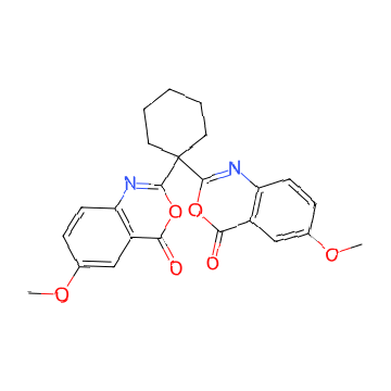 COc1ccc2nc(C3(c4nc5ccc(OC)cc5c(=O)o4)CCCCC3)oc(=O)c2c1